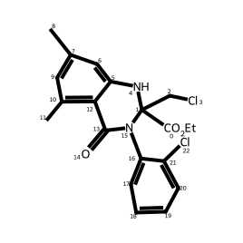 CCOC(=O)C1(CCl)Nc2cc(C)cc(C)c2C(=O)N1c1ccccc1Cl